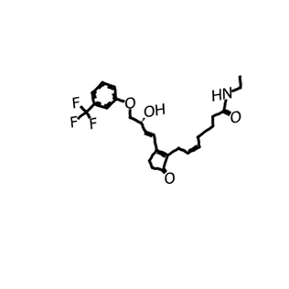 CCNC(=O)CCC/C=C\CC1=C(/C=C/[C@@H](O)COc2cccc(C(F)(F)F)c2)CCC1=O